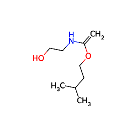 C=C(NCCO)OCCC(C)C